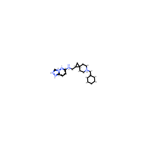 c1cc2nncn2nc1NCC1CC12CCN(CC1CCCCC1)CC2